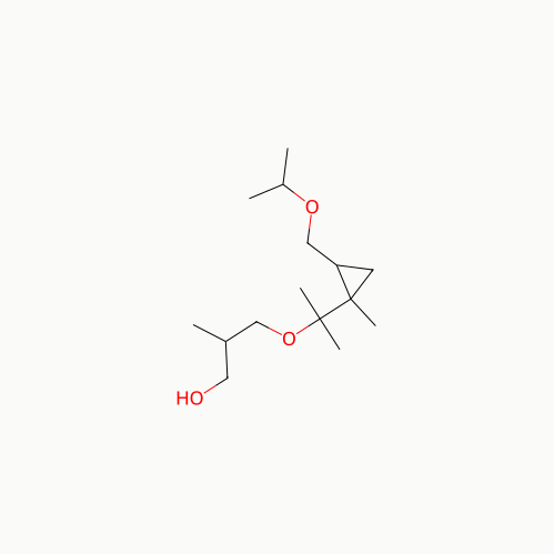 CC(CO)COC(C)(C)C1(C)CC1COC(C)C